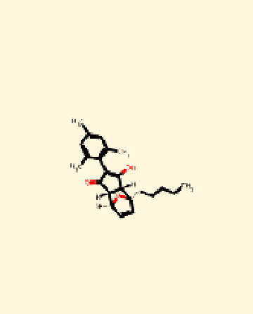 CCCCC[C@]12C=C[C@H](O1)[C@@H]1C(=O)C(c3c(C)cc(C)cc3C)=C(O)[C@@H]12